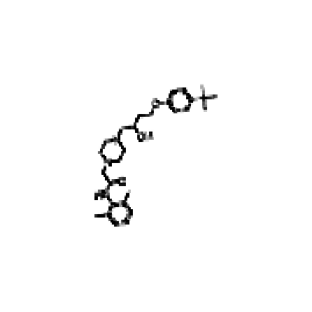 Cc1cccc(C)c1NC(=O)CN1CCN(CC(O)CCOc2ccc(C(C)(C)C)cc2)CC1